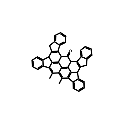 Cc1c2c3c4c5c6c7c(c(C)c15)-c1ccccc1C7C1=C(c5ccccc5C1)C6C(=O)C4C1=C(Cc4ccccc41)C3c1ccccc1-2